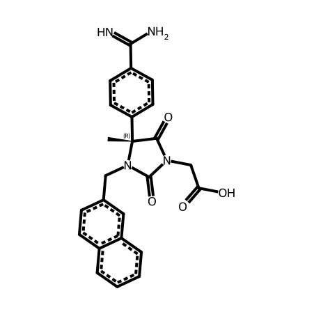 C[C@@]1(c2ccc(C(=N)N)cc2)C(=O)N(CC(=O)O)C(=O)N1Cc1ccc2ccccc2c1